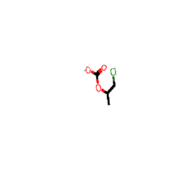 CC(CCl)OC([O])=O